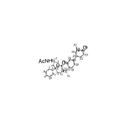 CC(=O)NC(C)(C)C[C@]1(c2ccccc2)CCN([C@@H](C)c2ccc(-c3ccc(=O)n(C)c3)cc2)C(=O)O1